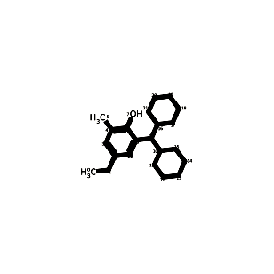 CCc1cc(C)c(O)c(C(C2CCCCC2)C2CCCCC2)c1